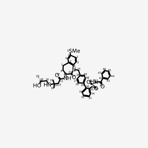 CSc1ccc2c(c1)CC[C@@H](NC(=O)CC(C)(C)NC[C@@H](C)O)C(=O)N2Cc1ccc(-c2ccccc2S(=O)(=O)NC(=O)c2ccccc2)cc1